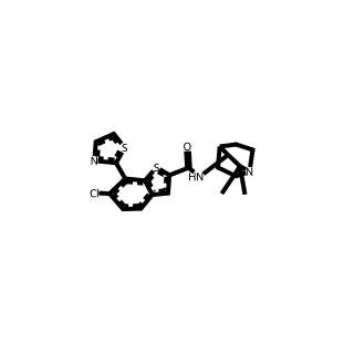 CC1(C)C(NC(=O)c2cc3ccc(Cl)c(-c4nccs4)c3s2)C2CCN1CC2